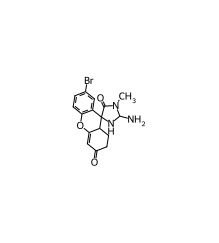 CN1C(=O)C2(NC1N)c1cc(Br)ccc1OC1=CC(=O)CCC12